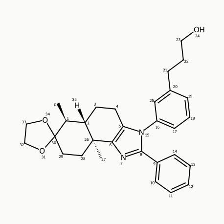 C[C@H]1[C@@H]2CCc3c(nc(-c4ccccc4)n3-c3cccc(CCCO)c3)[C@@]2(C)CCC12OCCO2